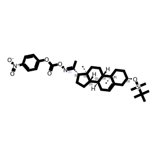 C/C(=N\OC(=O)Oc1ccc([N+](=O)[O-])cc1)[C@H]1CC[C@H]2[C@@H]3CC=C4C[C@@H](O[Si](C)(C)C(C)(C)C)CC[C@]4(C)[C@H]3CC[C@]12C